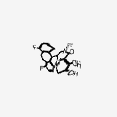 CC(C)N1CC(C2C3=C(CCc4c(F)cccc42)C(F)=CCC3)N2N=CC(O)C(O)=C2C1=O